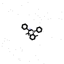 CC(=O)/C(=C\N(c1ccccc1)c1ccccc1C)c1ccccc1